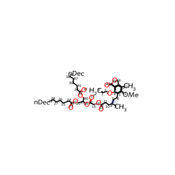 C=CCOc1c(C/C=C(\C)CCC(=O)OCC(=O)OC(COC(=O)CCCCCCCCCCCCCCC)COC(=O)CCCCCCCCCCCCCCC)c(OC)c(C)c2c1C(=O)OC2